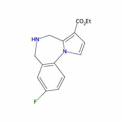 CCOC(=O)c1ccn2c1CNCc1cc(F)ccc1-2